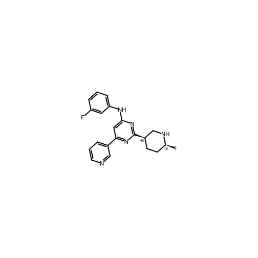 Fc1cccc(Nc2cc(-c3cccnc3)nc([C@@H]3CC[C@H](I)NC3)n2)c1